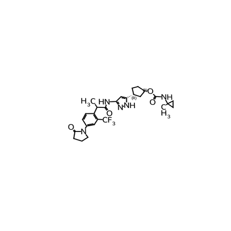 CC(C(=O)Nc1cc([C@@H]2CC[C@@H](OC(=O)NC3(C)CC3)C2)[nH]n1)c1ccc(N2CCCC2=O)cc1C(F)(F)F